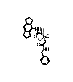 O=C(CS(=O)(=O)NC(=O)Nc1c2c(cc3c1CCC3)CCC2)NCc1ccccc1